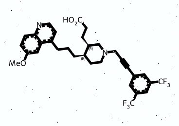 COc1ccc2nccc(CCC[C@@H]3CCN(CC#Cc4cc(C(F)(F)F)cc(C(F)(F)F)c4)C[C@@H]3CCC(=O)O)c2c1